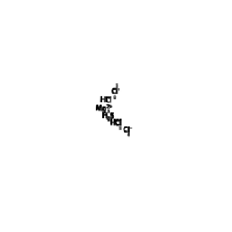 Cl.Cl.S.[Cl-].[Cl-].[Mg+2]